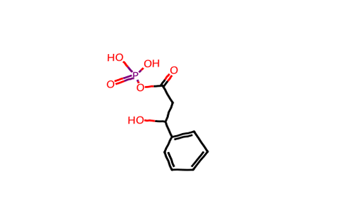 O=C(CC(O)c1ccccc1)OP(=O)(O)O